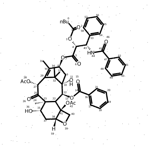 CCCCC(=O)O[C@@H](C(=O)O[C@H]1C[C@@]2(O)[C@@H](OC(=O)c3ccccc3)C3[C@](C)(C(=O)[C@H](OC(C)=O)C(=C1C)C2(C)C)[C@@H](O)C[C@H]1OC[C@@]31OC(C)=O)[C@@H](NC(=O)c1ccccc1)c1ccccc1